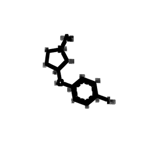 CC(=O)N1CCC(Oc2ccc(I)cc2)C1